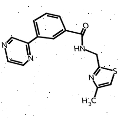 Cc1csc(CNC(=O)c2cccc(-c3cnccn3)c2)n1